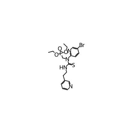 CCOP(=O)(CN(C(=S)NCCc1cccnc1)c1ccc(Br)cn1)OCC